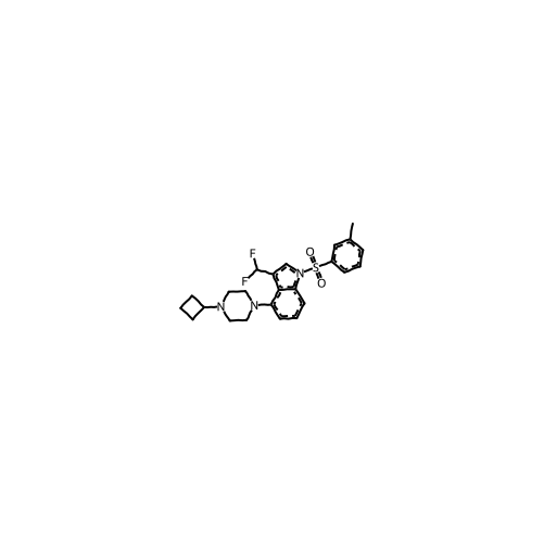 Cc1cccc(S(=O)(=O)n2cc(C(F)F)c3c(N4CCN(C5CCC5)CC4)cccc32)c1